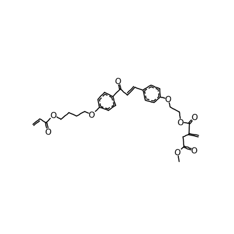 C=CC(=O)OCCCCOc1ccc(C(=O)/C=C/c2ccc(OCCOC(=O)C(=C)CC(=O)OC)cc2)cc1